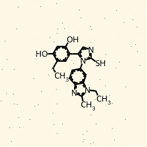 CCc1cc(-c2cnc(S)n2-c2ccc3nc(C)n(CC)c3c2)c(O)cc1O